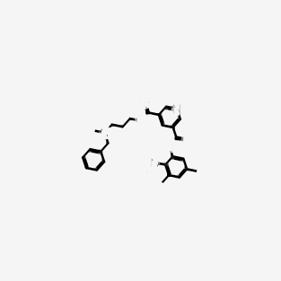 Cc1cc(C)c([N+](=O)[O-])c(OC(=O)c2cncc(C(=O)OCCCN(C)Cc3ccccc3)c2)c1